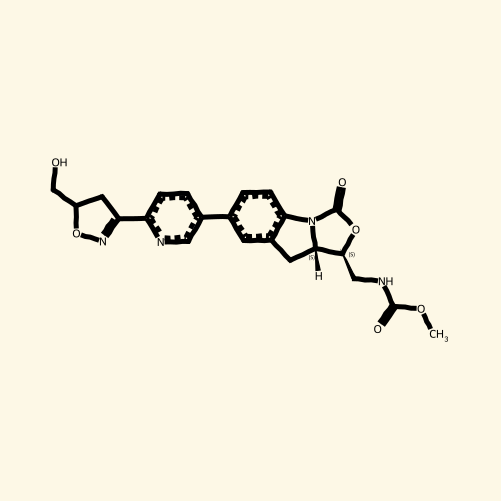 COC(=O)NC[C@@H]1OC(=O)N2c3ccc(-c4ccc(C5=NOC(CO)C5)nc4)cc3C[C@@H]12